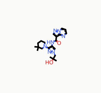 CC(C)(O)Cn1cc(NC(=O)c2cnn3cccnc23)c(N2CCCC(C)(C)C2)n1